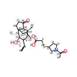 C=C[C@]1(C)C[C@@H](OC(=O)CSC2CCN(C(C)=O)C2)[C@]2(C)C(C)CCC3(CCC(=O)C32)[C@@H](C)C1O